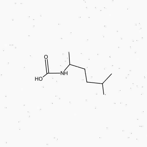 [CH2]C(C)CCC(C)NC(=O)O